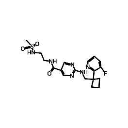 CS(=O)(=O)NCCNC(=O)c1cnc(NCC2(c3ncccc3F)CCC2)nc1